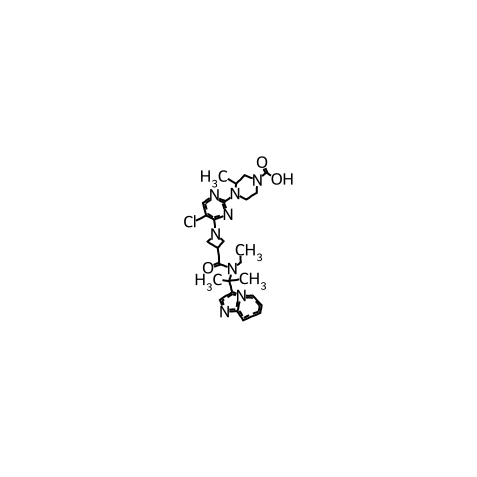 CCN(C(=O)C1CN(c2nc(N3CCN(C(=O)O)CC3C)ncc2Cl)C1)C(C)(C)c1cnc2ccccn12